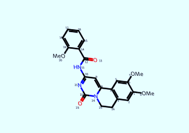 COc1cc2c(cc1OC)-c1cc(NC(=O)c3ccccc3OC)nc(=O)n1CC2